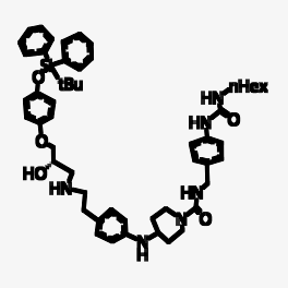 CCCCCCNC(=O)Nc1ccc(CNC(=O)N2CCC(Nc3ccc(CCNC[C@H](O)COc4ccc(O[Si](c5ccccc5)(c5ccccc5)C(C)(C)C)cc4)cc3)CC2)cc1